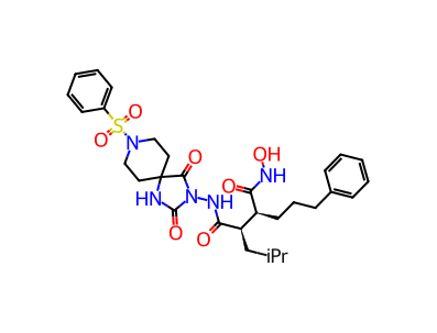 CC(C)C[C@@H](C(=O)NN1C(=O)NC2(CCN(S(=O)(=O)c3ccccc3)CC2)C1=O)[C@H](CCCc1ccccc1)C(=O)NO